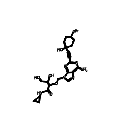 CCCC1CCC(O)(C#Cc2nc(N)c3ncn(COC(C(=O)NC4CC4)C(O)CO)c3n2)CC1